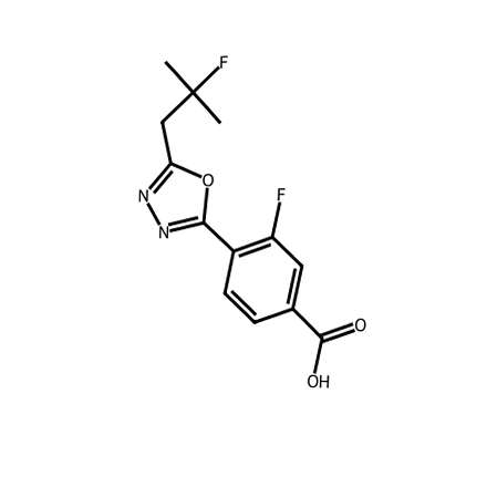 CC(C)(F)Cc1nnc(-c2ccc(C(=O)O)cc2F)o1